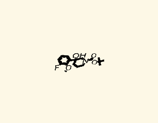 COc1c(F)cccc1C1(O)CCCN(C(=O)OC(C)(C)C)C1